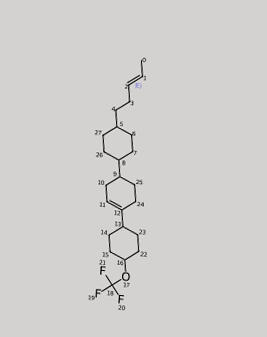 C/C=C/CCC1CCC(C2CC=C(C3CCC(OC(F)(F)F)CC3)CC2)CC1